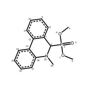 COP(=O)(OC)C1c2ccccc2-c2ccccc2N1C